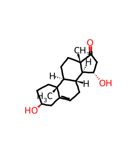 C[C@]12CC[C@H](O)CC1=CC[C@H]1[C@@H]3[C@@H](O)CC(=O)[C@@]3(C)CC[C@@H]12